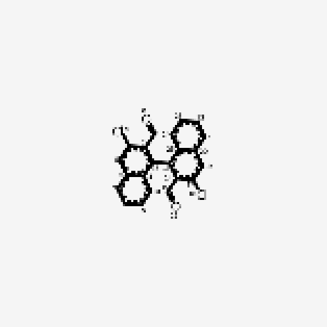 O=Cc1c(Cl)cc2ccccc2c1-c1c(C=O)c(Cl)cc2ccccc12